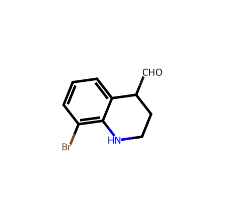 O=CC1CCNc2c(Br)cccc21